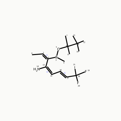 C\C=C(B(C)OC(C)(C)C(C)(C)C)/C(N)=C\C=C\C(F)(F)I